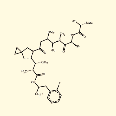 CC[C@H](C)[C@@H]([C@@H](CC(=O)N1CC2(CC2)C[C@H]1[C@H](OC)[C@@H](C)C(=O)NC(Cc1ccccc1F)C(=O)O)OC)N(C)C(=O)[C@@H](NC(=O)[C@@H](NC)C(C)C)C(C)C